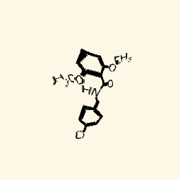 COc1cccc(OC)c1C(=O)NCc1ccc(Cl)cc1